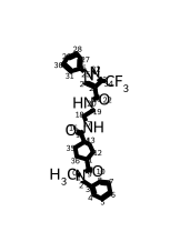 CN(Cc1ccccc1)C(=O)C1CCC(C(=O)NCCNC(=O)c2cn(-c3ccccc3)nc2C(F)(F)F)CC1